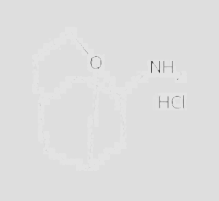 Cl.NC12CC3CC(CC(C3)O1)C2